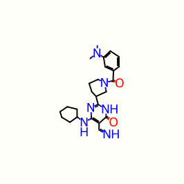 CN(C)c1cccc(C(=O)N2CCCC(c3nc(NC4CCCCC4)c(C=N)c(=O)[nH]3)C2)c1